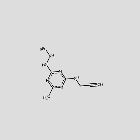 C#CCNc1nc(C)nc(NNCCC)n1